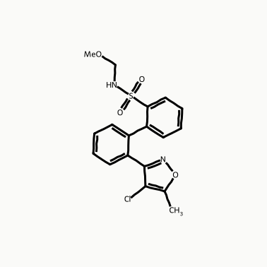 COCNS(=O)(=O)c1ccccc1-c1ccccc1-c1noc(C)c1Cl